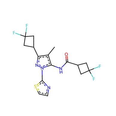 Cc1c(C2CC(F)(F)C2)nn(-c2nccs2)c1NC(=O)C1CC(F)(F)C1